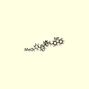 COCC1C=CC=C(C2=COC=C(c3nnc(SCc4ccc(-c5ccccc5C#N)cc4)o3)O2)C1